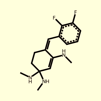 CNC1=CC(NC)(NC)CCC1=Cc1cccc(F)c1F